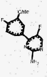 COc1cc(-c2nc(N)ncc2F)ccc1F